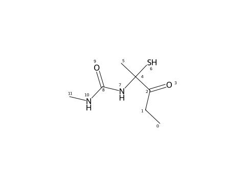 CCC(=O)C(C)(S)NC(=O)NC